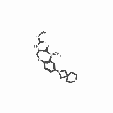 CN1C(=O)[C@@H](NC(=O)OC(C)(C)C)COc2ccc(N3CC4(CCOCC4)C3)cc21